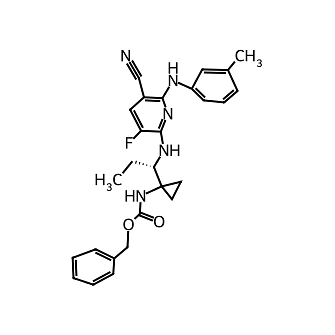 CC[C@H](Nc1nc(Nc2cccc(C)c2)c(C#N)cc1F)C1(NC(=O)OCc2ccccc2)CC1